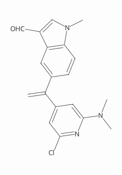 C=C(c1cc(Cl)nc(N(C)C)c1)c1ccc2c(c1)c(C=O)cn2C